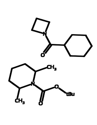 CC1CCCC(C)N1C(=O)OC(C)(C)C.O=C(C1CCCCC1)N1CCC1